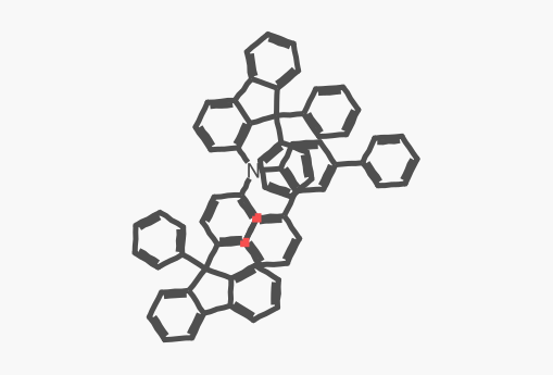 c1ccc(-c2ccc(N(c3ccc(C4(c5ccccc5)c5ccccc5-c5ccccc54)cc3)c3cccc4c3C(c3ccccc3)(c3ccccc3)c3ccccc3-4)c(-c3ccccc3)c2)cc1